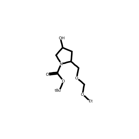 CCOCOCC1CC(O)CN1C(=O)OC(C)(C)C